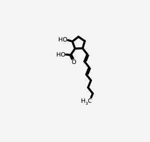 CCCCC=CC=CC1CCC(O)C1C(=O)O